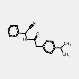 CC(C)c1ccc(CC(=O)NC(C#N)c2ccccc2)cc1